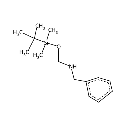 CC(C)(C)[Si](C)(C)OCNCc1ccccc1